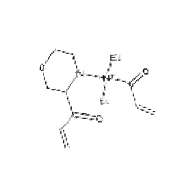 C=CC(=O)C1COCCN1[N+](CC)(CC)C(=O)C=C